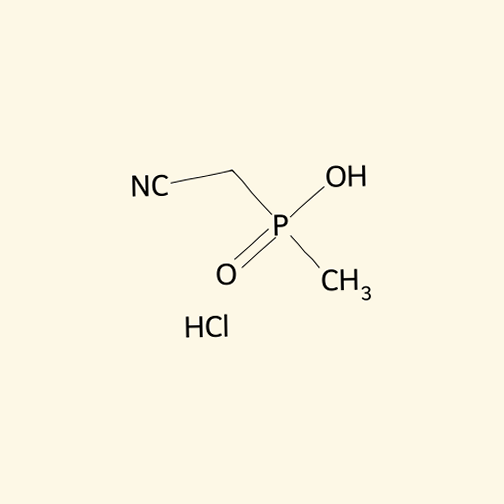 CP(=O)(O)CC#N.Cl